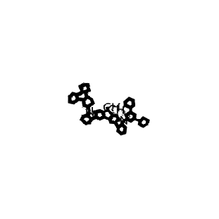 CC1(C)c2cc3c(cc2-c2cc4c5ccccc5n(-c5ccc6c7ccccc7c7ccccc7c6c5)c4cc21)c1ccccc1n3-c1cc(-c2ccccc2)cc(-c2ccccc2)c1